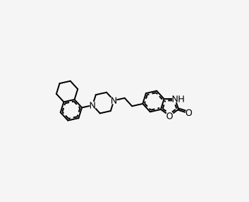 O=c1[nH]c2ccc(CCN3CCN(c4cccc5c4CCCC5)CC3)cc2o1